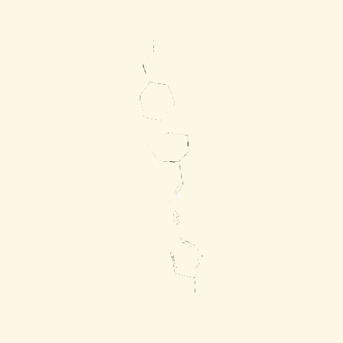 CCC[C@H]1CC[C@H](C2CCC(/C=C/C#Cc3ccc(CC)cc3)CC2)CC1